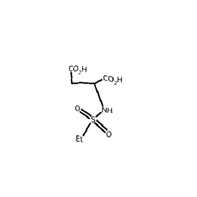 CCS(=O)(=O)NC(CC(=O)O)C(=O)O